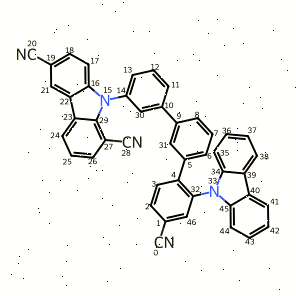 N#Cc1ccc(-c2cccc(-c3cccc(-n4c5ccc(C#N)cc5c5cccc(C#N)c54)c3)c2)c(-n2c3ccccc3c3ccccc32)c1